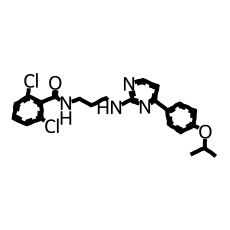 CC(C)Oc1ccc(-c2ccnc(NCCCNC(=O)c3c(Cl)cccc3Cl)n2)cc1